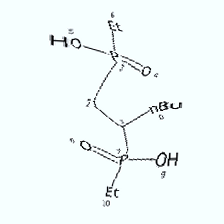 CCCCC(CP(=O)(O)CC)P(=O)(O)CC